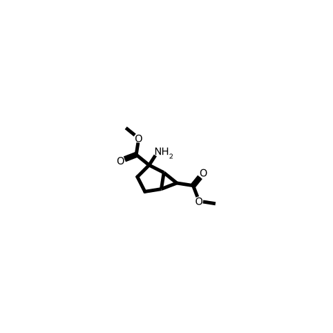 COC(=O)C1C2CCC(N)(C(=O)OC)C21